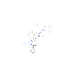 C=C(C)/C(C)=C/C=C(\C)C(C)(C)CCC1CC=C(c2ccc(C)cc2)C(C)(N)/C1=C/C